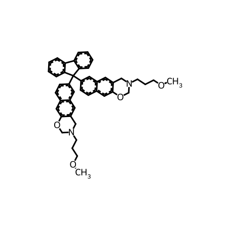 COCCCN1COc2cc3ccc(C4(c5ccc6cc7c(cc6c5)CN(CCCOC)CO7)c5ccccc5-c5ccccc54)cc3cc2C1